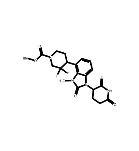 Cn1c(=O)n(C2CCC(=O)NC2=O)c2cccc(C3CCN(C(=O)OC(C)(C)C)CC3(F)F)c21